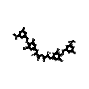 CNc1cc(C)cc(COc2c(Br)cc(CC(F)C(=O)OC(=O)C(F)Cc3cc(Br)c(OCc4cc(Cl)cc(NC)c4)c(Br)c3)cc2Br)c1